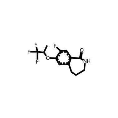 CC(Oc1cc2c(cc1F)C(=O)NCCC2)C(F)(F)F